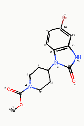 CC(C)(C)OC(=O)N1CCC(n2c(=O)[nH]c3cc(Br)ccc32)CC1